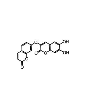 O=c1ccc2ccc(Oc3cc4cc(O)c(O)cc4oc3=O)cc2o1